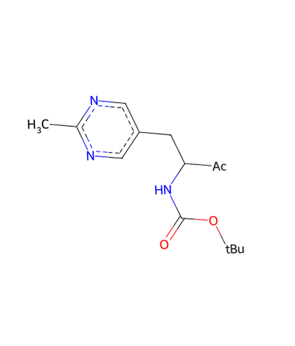 CC(=O)C(Cc1cnc(C)nc1)NC(=O)OC(C)(C)C